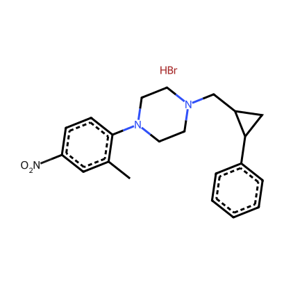 Br.Cc1cc([N+](=O)[O-])ccc1N1CCN(CC2CC2c2ccccc2)CC1